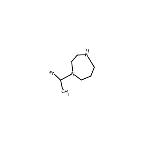 CC(C)C(C)N1CCCNCC1